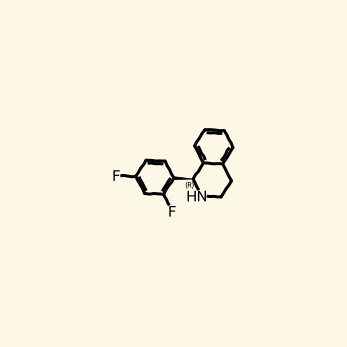 Fc1ccc([C@@H]2NCCc3ccccc32)c(F)c1